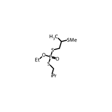 CCOP(=O)(SCC(C)C)SCC(C)SC